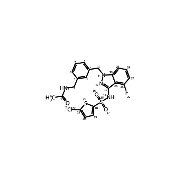 CC(=O)NCc1cccc(Cn2nc(NS(=O)(=O)c3ccc(Cl)s3)c3c(F)cccc32)c1